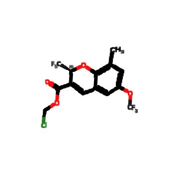 Cc1cc(OC(F)(F)F)cc2c1O[C@H](C(F)(F)F)C(C(=O)OCCl)=C2